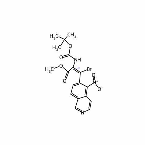 COC(=O)/C(NC(=O)OC(C)(C)C)=C(/Br)c1ccc2cnccc2c1[N+](=O)[O-]